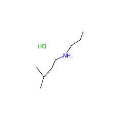 CCCNCCC(C)C.Cl